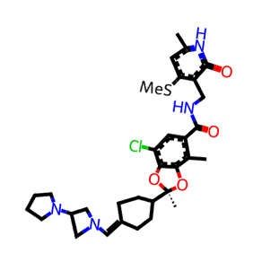 CSc1cc(C)[nH]c(=O)c1CNC(=O)c1cc(Cl)c2c(c1C)O[C@@](C)(C1CCC(=CN3CC(N4CCCC4)C3)CC1)O2